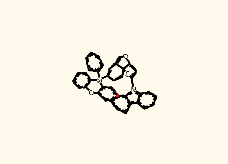 C1=CC23CC(n4c5ccccc5c5ccccc54)=CC=C2OC=C3C=C1[Si]1(c2ccccc2)c2ccccc2Oc2ccccc21